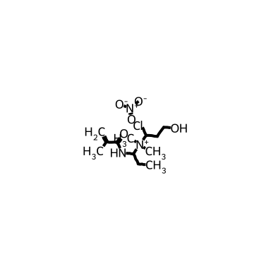 C=C(C)C(=O)NC(CC)[N+](C)(C)C(Cl)CCO.O=[N+]([O-])[O-]